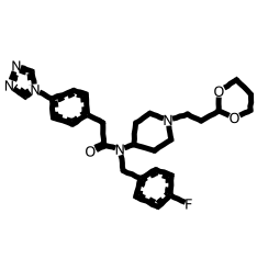 O=C(Cc1ccc(-n2cnnc2)cc1)N(Cc1ccc(F)cc1)C1CCN(CCC2OCCCO2)CC1